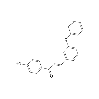 O=C(C=Cc1cccc(Oc2ccccc2)c1)c1ccc(O)cc1